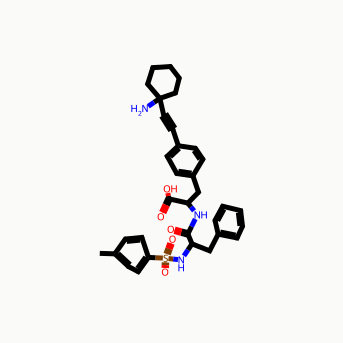 Cc1ccc(S(=O)(=O)NC(Cc2ccccc2)C(=O)NC(Cc2ccc(C#CC3(N)CCCCC3)cc2)C(=O)O)cc1